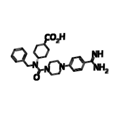 N=C(N)c1ccc(N2CCN(C(=O)N(Cc3ccccc3)[C@H]3CC[C@H](C(=O)O)CC3)CC2)cc1